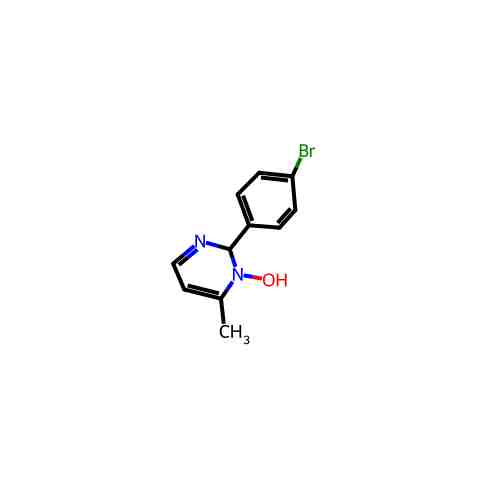 CC1=CC=NC(c2ccc(Br)cc2)N1O